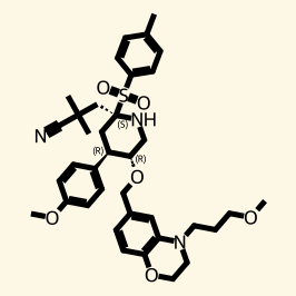 COCCCN1CCOc2ccc(CO[C@H]3CN[C@](CC(C)(C)C#N)(S(=O)(=O)c4ccc(C)cc4)C[C@@H]3c3ccc(OC)cc3)cc21